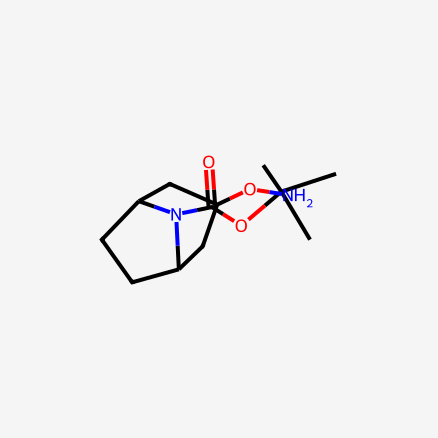 CC(C)(C)OC(=O)N1C2CCC1CC(ON)C2